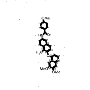 COc1ccc(C(=O)Nc2ccc3c(C)c(Oc4ccnc5cc(OC)c(OC)cc45)ccc3c2)cc1